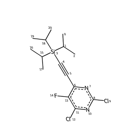 CC(C)[Si](C#Cc1nc(Cl)nc(Cl)c1F)(C(C)C)C(C)C